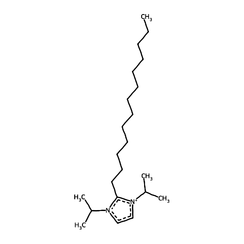 CCCCCCCCCCCCCc1n(C(C)C)cc[n+]1C(C)C